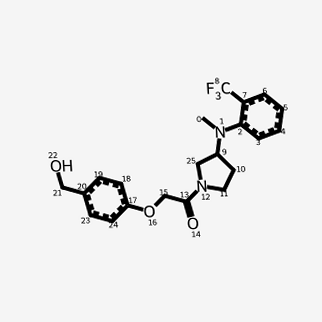 CN(c1ccccc1C(F)(F)F)C1CCN(C(=O)COc2ccc(CO)cc2)C1